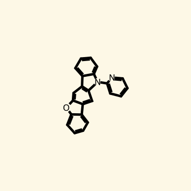 c1ccc(-n2c3ccccc3c3cc4oc5ccccc5c4cc32)nc1